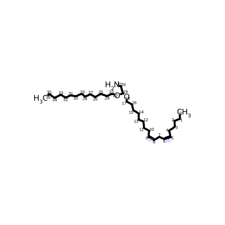 CCCCC/C=C\C/C=C\CCCCCCCCOC(CN)OCCCCCCCCCCCCCC